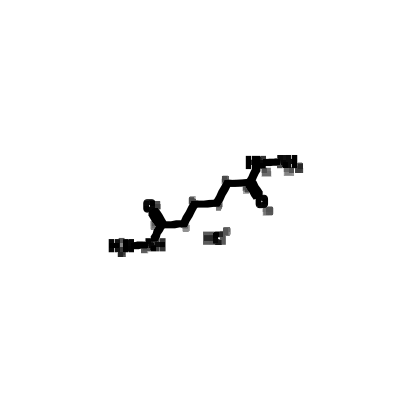 Cl.NNC(=O)CCCCC(=O)NN